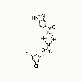 O=C(OCc1cc(Cl)cc(Cl)c1)N1C[C@@H]2CN(C(=O)c3ccc4[nH]cnc4c3)C[C@@H]2C1